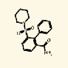 NC(=O)c1cccc(S(=O)(=O)N2CCCCC2)c1-c1ccccc1